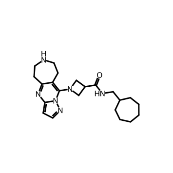 O=C(NCC1CCCCCC1)C1CN(c2c3c(nc4ccnn24)CCNCC3)C1